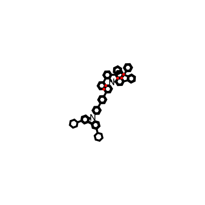 c1ccc(-c2cccc(-c3ccccc3)c2N(c2ccc(-c3ccc(-c4ccc(-n5c6ccc(C7CCCCC7)cc6c6cc(C7CCCCC7)ccc65)cc4)cc3)cc2)c2ccc3c(c2)C(c2ccccc2)(c2ccccc2)c2ccccc2-3)cc1